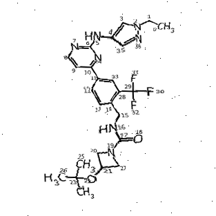 CCn1cc(Nc2nccc(-c3ccc(CNC(=O)N4CC(OC(C)(C)C)C4)c(C(F)(F)F)c3)n2)cn1